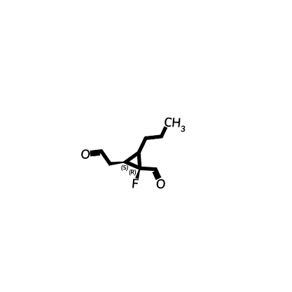 CCCC1[C@H](CC=O)[C@@]1(F)C=O